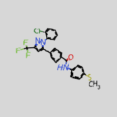 CSc1ccc(NC(=O)c2ccc(-c3cc(C(F)(F)F)nn3-c3ccccc3Cl)cc2)cc1